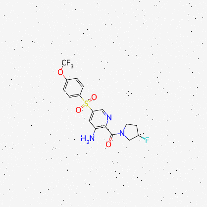 Nc1cc(S(=O)(=O)c2ccc(OC(F)(F)F)cc2)cnc1C(=O)N1CC[C@@H](F)C1